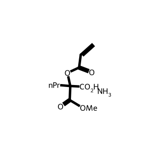 C=CC(=O)OC(CCC)(C(=O)O)C(=O)OC.N